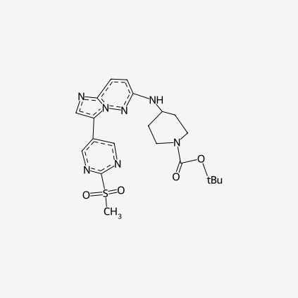 CC(C)(C)OC(=O)N1CCC(Nc2ccc3ncc(-c4cnc(S(C)(=O)=O)nc4)n3n2)CC1